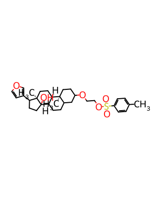 Cc1ccc(S(=O)(=O)OCCOC2CC[C@@]3(C)C(CC[C@@H]4[C@H]3CC[C@]3(C)C(c5ccoc5)CC[C@@]43O)C2)cc1